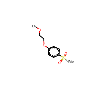 CCOCCOc1ccc(S(=O)(=O)NC)cc1